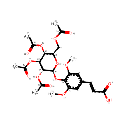 COc1cc(C=CC(=O)O)cc(OC)c1O[C@@H]1O[C@H](COC(C)=O)[C@H](OC(C)=O)[C@H](OC(C)=O)[C@H]1OC(C)=O